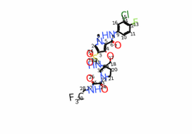 Cn1cc2c(c1C(=O)Nc1ccc(F)c(Cl)c1)OC[C@]1(CCN(C(=O)C(=O)NCC(F)(F)F)C1)NS2(=O)=O